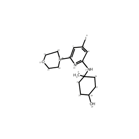 CC1(Nc2cc(I)cc(N3CCOCC3)n2)CCC(O)CC1